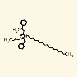 CCCCCCCCCCCCCCCCC[n+]1c(CC(C)c2ccccc2)cn(CCCC)c1Cc1ccccc1